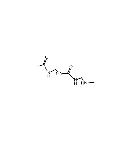 CNCNC(=O)NCNC(C)=O